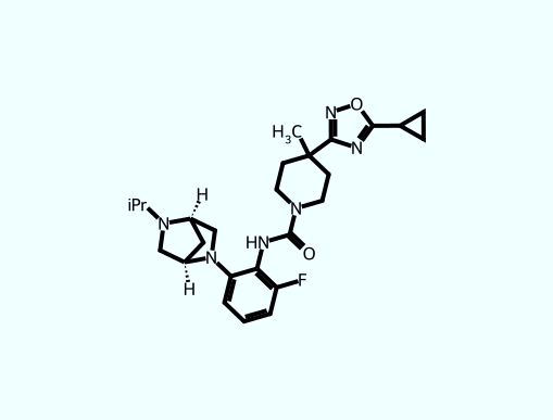 CC(C)N1C[C@H]2C[C@@H]1CN2c1cccc(F)c1NC(=O)N1CCC(C)(c2noc(C3CC3)n2)CC1